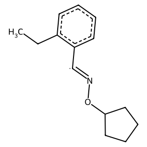 CCc1ccccc1/[C]=N/OC1CCCC1